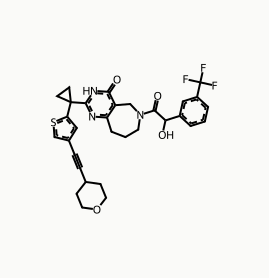 O=C(C(O)c1cccc(C(F)(F)F)c1)N1CCCc2nc(C3(c4cc(C#CC5CCOCC5)cs4)CC3)[nH]c(=O)c2C1